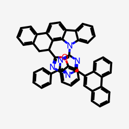 c1ccc(-c2nc(-c3cc4ccccc4c4ccccc34)nc(-n3c4ccccc4c4ccc5c(c43)C(c3nc4ccccc4o3)Cc3ccccc3-5)n2)cc1